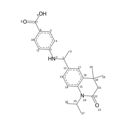 CC(Nc1ccc(C(=O)O)cc1)c1ccc2c(c1)C(C)(C)CC(=O)N2C(C)C